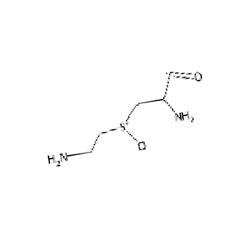 NCC[S+]([O-])CC(N)[C]=O